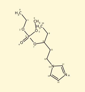 CCOP(=O)(OC)OC(CC)CCn1ccnc1